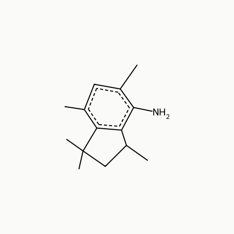 Cc1cc(C)c2c(c1N)C(C)CC2(C)C